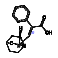 O=C(O)/C(=C/[C@H]1CC2CCN1CC2)c1ccccc1